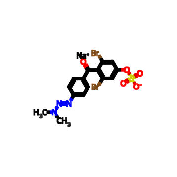 CN(C)N=Nc1ccc(C(=O)c2c(Br)cc(OS(=O)(=O)[O-])cc2Br)cc1.[Na+]